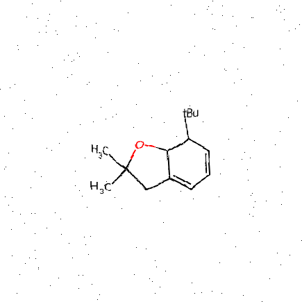 CC1(C)CC2=CC=CC(C(C)(C)C)C2O1